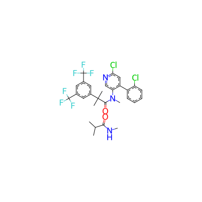 CN(C(=O)C(C)(C)c1cc(C(F)(F)F)cc(C(F)(F)F)c1)c1cnc(Cl)cc1-c1ccccc1Cl.CNC(=O)C(C)C